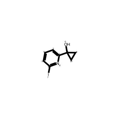 OC1(c2cccc(I)n2)CC1